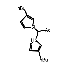 CCCCC1=C[SH](C(C(C)=O)[SH]2C=CC(CCCC)=C2)C=C1